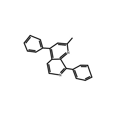 Cc1cc(-c2ccccc2)c2ccnc(-c3ccccc3)c2n1